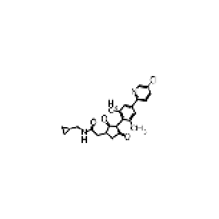 Cc1cc(-c2ccc(Cl)cn2)cc(C)c1C1C(=O)CC(CC(=O)NCC2CC2)C1=O